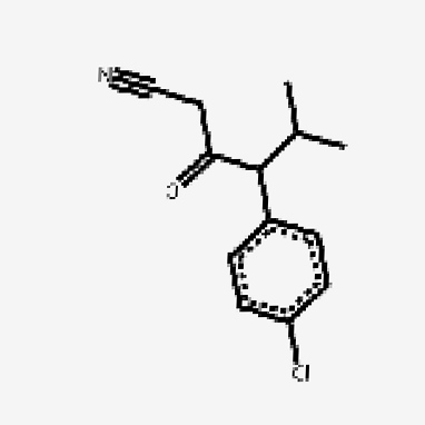 CC(C)C(C(=O)CC#N)c1ccc(Cl)cc1